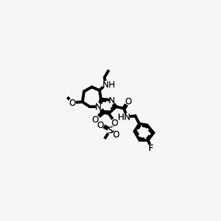 CCNC1CCC(OC)Cn2c1nc(C(=O)NCc1ccc(F)cc1)c(OS(C)(=O)=O)c2=O